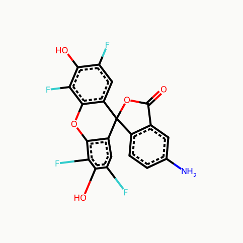 Nc1ccc2c(c1)C(=O)OC21c2cc(F)c(O)c(F)c2Oc2c1cc(F)c(O)c2F